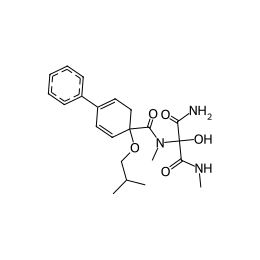 CNC(=O)C(O)(C(N)=O)N(C)C(=O)C1(OCC(C)C)C=CC(c2ccccc2)=CC1